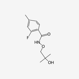 Cc1ccc(C(=O)NOCC(C)(C)O)c(F)c1